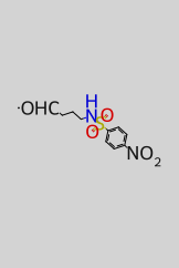 O=[C]CCCNS(=O)(=O)c1ccc([N+](=O)[O-])cc1